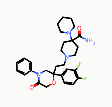 NC(=O)C1(N2CCCCC2)CCN(CCC2(c3ccc(F)c(F)c3)CN(c3ccccc3)C(=O)CO2)CC1